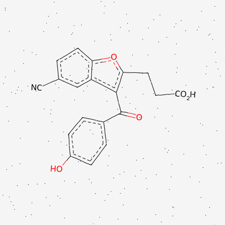 N#Cc1ccc2oc(CCC(=O)O)c(C(=O)c3ccc(O)cc3)c2c1